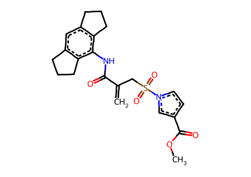 C=C(CS(=O)(=O)n1ccc(C(=O)OC)c1)C(=O)Nc1c2c(cc3c1CCC3)CCC2